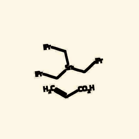 C=CC(=O)O.CC(C)[CH2][Sn]([CH2]C(C)C)[CH2]C(C)C